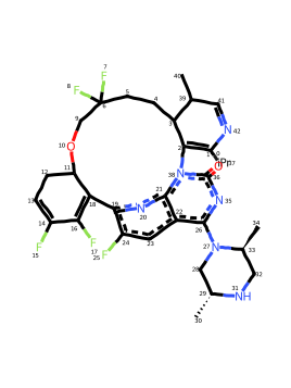 CC(C)C1=C2C(CCC(F)(F)COC3CC=C(F)C(F)=C3c3nc4c(cc3F)c(N3C[C@@H](C)NC[C@@H]3C)nc(=O)n42)C(C)C=N1